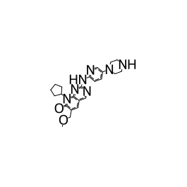 COCc1cc2cnc(Nc3ccc(N4CCNCC4)cn3)nc2n(C2CCCC2)c1=O